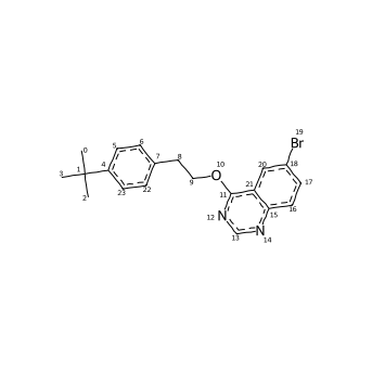 CC(C)(C)c1ccc(CCOc2ncnc3ccc(Br)cc23)cc1